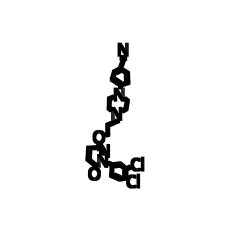 N#Cc1ccc(N2CCN(CCCOc3ccc(=O)n(-c4ccc(Cl)c(Cl)c4)n3)CC2)cc1